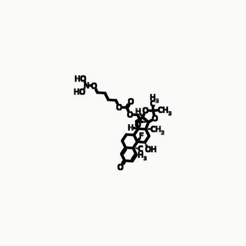 CC1(C)O[C@@H]2C[C@H]3C4CCC5=CC(=O)C=C[C@]5(C)[C@@]4(F)[C@@H](O)C[C@]3(C)[C@]2(C(=O)COC(=O)OCCCCON(O)O)O1